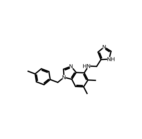 Cc1ccc(Cn2cnc3c(NCc4cnc[nH]4)c(C)c(C)cc32)cc1